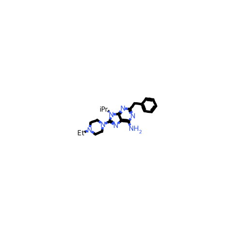 CCN1CCN(c2nc3c(N)nc(Cc4ccccc4)nc3n2C(C)C)CC1